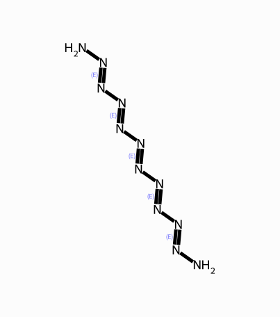 N/N=N/N=N/N=N/N=N/N=N/N